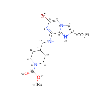 CCOC(=O)c1cn2cc(Br)nc(NCC3CCN(C(=O)OC(C)(C)C)CC3)c2n1